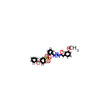 COc1cccc(CC(=O)N/N=C/c2ccccc2OS(=O)(=O)c2ccc(Oc3ccccc3)cc2)c1